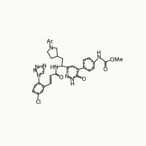 COC(=O)Nc1ccc(-c2cc(C(CC3CCN(C(C)=O)C3)NC(=O)C=Cc3cc(Cl)ccc3-n3cnnn3)n[nH]c2=O)cc1